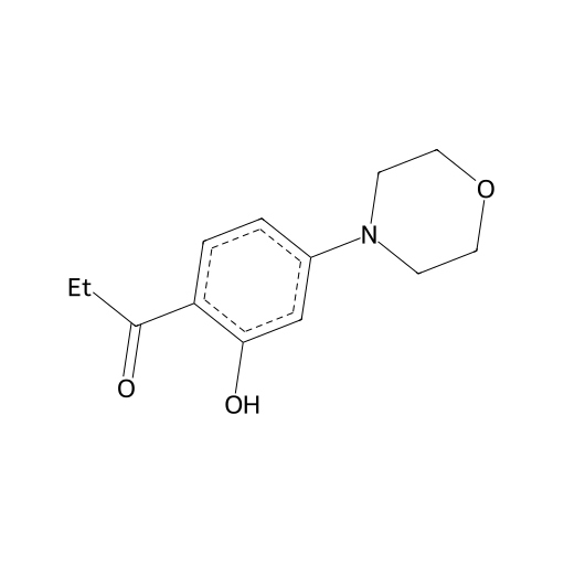 CCC(=O)c1ccc(N2CCOCC2)cc1O